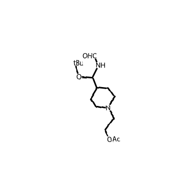 CC(=O)OCCN1CCC(C(NC=O)OC(C)(C)C)CC1